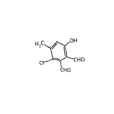 Cc1cc(O)c(C=O)c(C=O)c1Cl